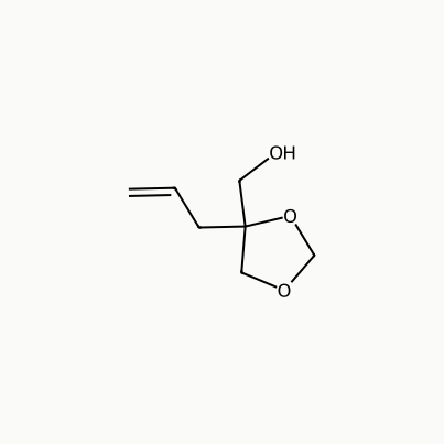 C=CCC1(CO)COCO1